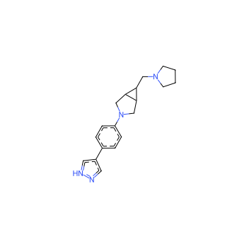 c1cc(N2CC3C(CN4CCCC4)C3C2)ccc1-c1cn[nH]c1